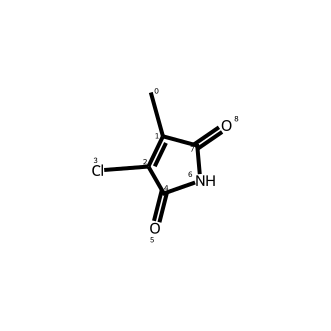 CC1=C(Cl)C(=O)NC1=O